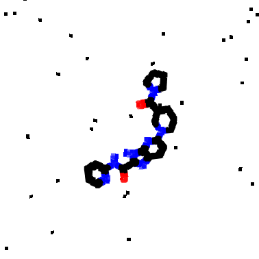 O=C(Nc1ccccn1)c1nc2ccc(N3CCCC(C(=O)N4CCCC4)C3)nc2[nH]1